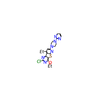 CCOc1nc(Cl)nc2c1sc1nc(N3CCN(c4ncccn4)CC3)cc(CC)c12